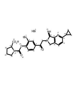 Br.CC(C)(C)c1cc(C(=O)CN2Cc3ccc(C4CC4)nc3C2=N)ccc1OC(=O)N1CCCC1C(=O)O